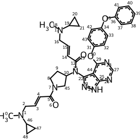 CN(CC=CC(=O)N1CCC(N(C(=O)C=CCN(C)C2CC2)c2n[nH]c3ncnc(Oc4ccc(Oc5ccccc5)cc4)c23)C1)C1CC1